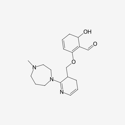 CN1CCCN(C2=NC=CCC2COC2=C(C=O)C(O)CC=C2)CC1